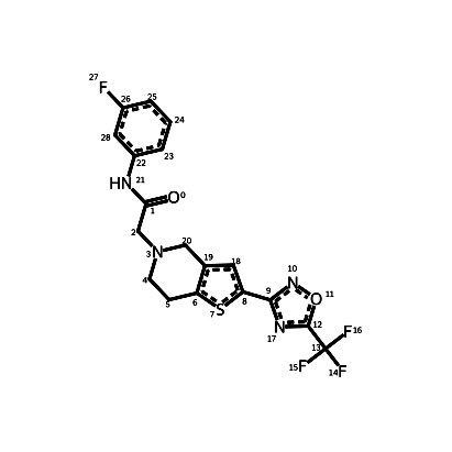 O=C(CN1CCc2sc(-c3noc(C(F)(F)F)n3)cc2C1)Nc1cccc(F)c1